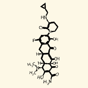 CN(C)[C@@H]1C(O)=C(C(N)=O)C(=O)[C@@]2(O)C(O)=C3C(=O)c4c(O)c(N5CCC[C@H](NCC6CC6)C5=O)cc(F)c4C[C@H]3C[C@@H]12